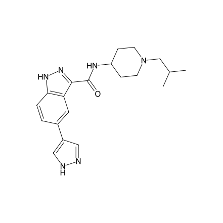 CC(C)CN1CCC(NC(=O)c2n[nH]c3ccc(-c4cn[nH]c4)cc23)CC1